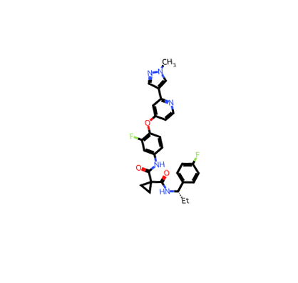 CC[C@H](NC(=O)C1(C(=O)Nc2ccc(Oc3ccnc(-c4cnn(C)c4)c3)c(F)c2)CC1)c1ccc(F)cc1